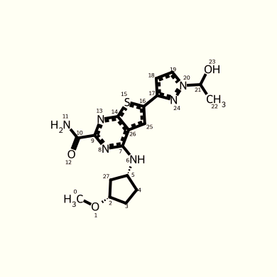 CO[C@H]1CC[C@@H](Nc2nc(C(N)=O)nc3sc(-c4ccn(C(C)O)n4)cc23)C1